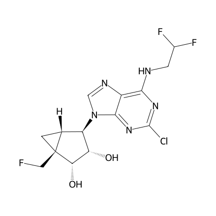 O[C@H]1[C@H](n2cnc3c(NCC(F)F)nc(Cl)nc32)[C@H]2C[C@@]2(CF)[C@H]1O